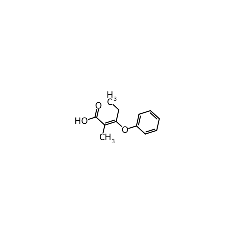 CC/C(Oc1ccccc1)=C(/C)C(=O)O